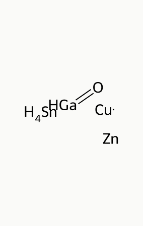 [Cu].[O]=[GaH].[SnH4].[Zn]